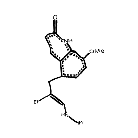 CCC(=CNC(C)C)Cc1ccc(OC)c2[nH]c(=O)ccc12